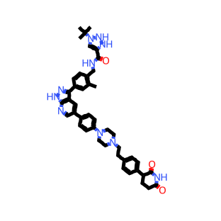 Cc1cc(-c2n[nH]c3ncc(-c4ccc(N5CCN(CCc6ccc(C7CCC(=O)NC7=O)cc6)CC5)cc4)cc23)ccc1CNC(=O)C1=CN(C(C)(C)C)NN1